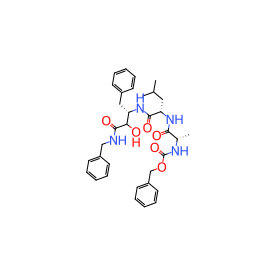 CC(C)C[C@H](NC(=O)[C@H](C)NC(=O)OCc1ccccc1)C(=O)N[C@@H](Cc1ccccc1)C(O)C(=O)NCc1ccccc1